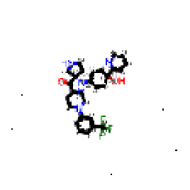 O=C(C1CCN(c2cccc(C(F)(F)F)c2)CC1)[C@]1(NC2CCC(O)(c3ccccn3)CC2)CCNC1